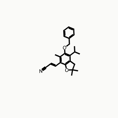 Cc1c(C=CC#N)c2c(c(C(C)C)c1OCc1ccccc1)CC(C)(C)O2